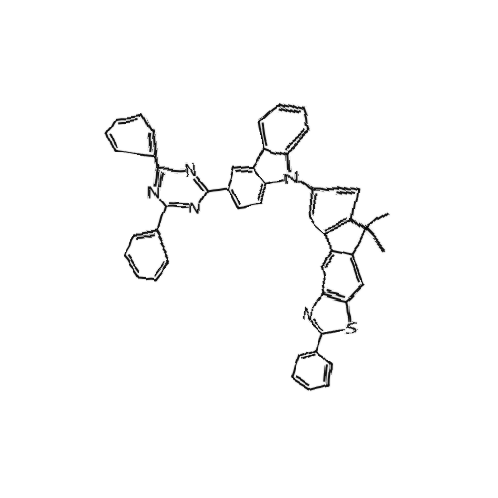 CC1(C)c2ccc(-n3c4ccccc4c4cc(-c5nc(-c6ccccc6)nc(-c6ccccc6)n5)ccc43)cc2-c2cc3nc(-c4ccccc4)sc3cc21